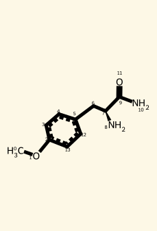 COc1ccc(C[C@H](N)C(N)=O)cc1